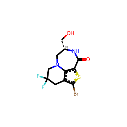 O=C1N[C@@H](CO)CN2CC(F)(F)Cc3c(Br)sc1c32